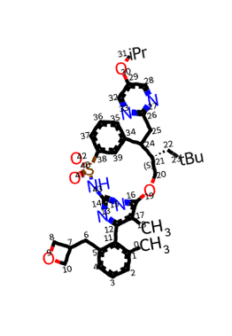 Cc1cccc(CC2COC2)c1-c1nc2nc(c1C)OC[C@@H](CC(C)(C)C)C(Cc1ncc(OC(C)C)cn1)c1cccc(c1)S(=O)(=O)N2